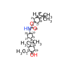 CCc1cc(C(C)(C)c2ccc(NC(=O)Oc3ccc(C(C)(C)C)cc3)cc2)ccc1O